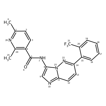 Cc1ccc(C(=O)Nc2cnc3ccc(-c4ccccc4C(F)(F)F)nn23)c(C)n1